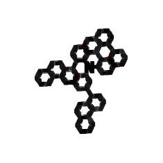 c1ccc(-c2cccc3cccc(-c4ccccc4N(c4cccc(-c5cccc6c5ccc5ccccc56)c4)c4ccccc4-c4cccc5c4ccc4ccccc45)c23)cc1